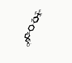 [O-][S+]1CC2(CCN([C@H]3CC[C@@H](c4ccc(C(F)(F)F)cn4)CC3)C2)C1